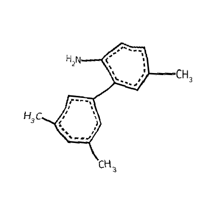 Cc1cc(C)cc(-c2cc(C)ccc2N)c1